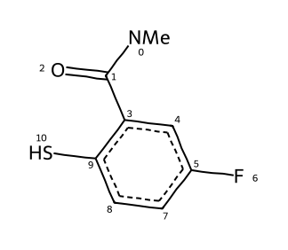 CNC(=O)c1cc(F)ccc1S